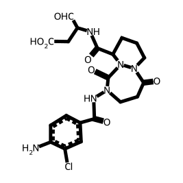 Nc1ccc(C(=O)NN2CCC(=O)N3CCCC(C(=O)NC(C=O)CC(=O)O)N3C2=O)cc1Cl